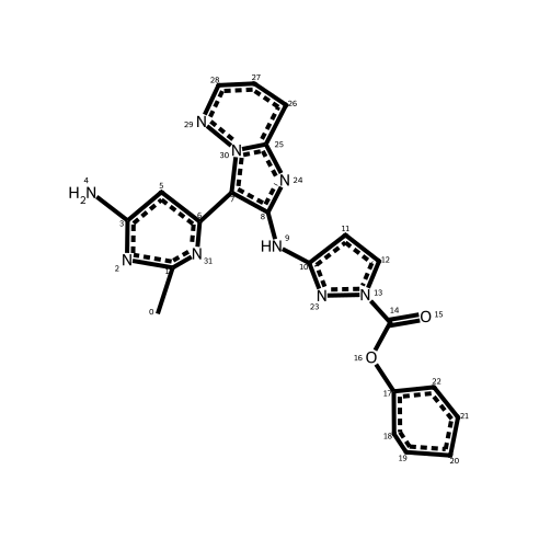 Cc1nc(N)cc(-c2c(Nc3ccn(C(=O)Oc4ccccc4)n3)nc3cccnn23)n1